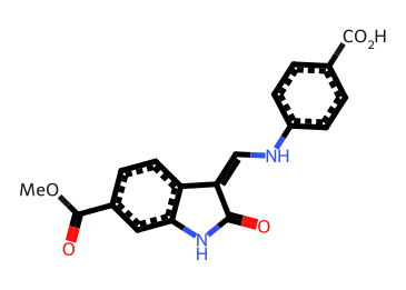 COC(=O)c1ccc2c(c1)NC(=O)C2=CNc1ccc(C(=O)O)cc1